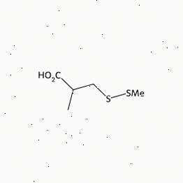 CSSCC(C)C(=O)O